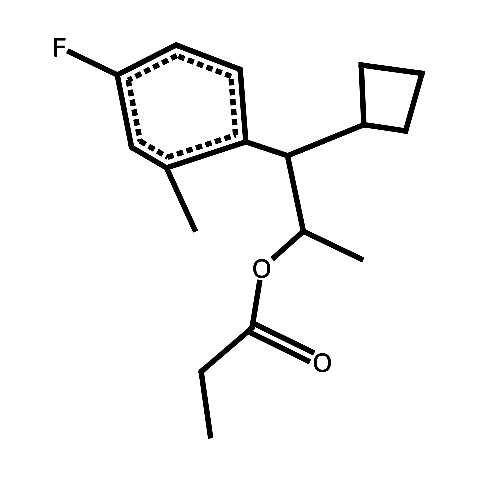 CCC(=O)OC(C)C(c1ccc(F)cc1C)C1CCC1